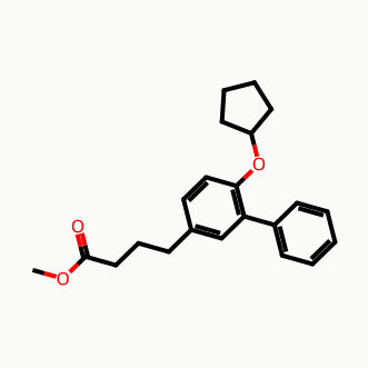 COC(=O)CCCc1ccc(OC2CCCC2)c(-c2ccccc2)c1